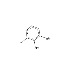 [CH2]c1cccc(CCC)c1CCC